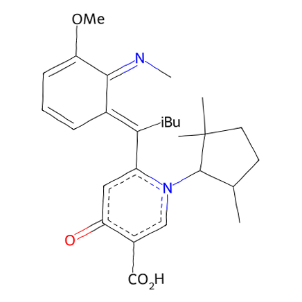 CCC(C)/C(=C1/C=CC=C(OC)/C1=N/C)c1cc(=O)c(C(=O)O)cn1C1C(C)CCC1(C)C